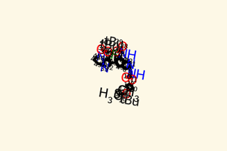 Cc1c(-c2cc3cc(NC(=O)O[C@H]4C[C@@H](O[Si](C)(C)C(C)(C)C)C4)ncc3c(NC(=O)OC(C)(C)C)c2F)cnc2c1N(C(=O)OC(C)(C)C)CCC2